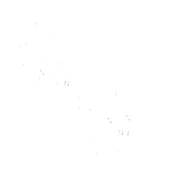 CC(NC(=O)CN1COCc2cc(-c3nc(NC4CCOCC4)ncc3Cl)ccc2C1)c1cccc(F)c1F